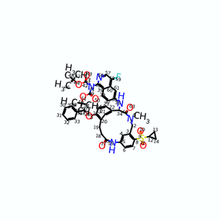 CN1Cc2cc(ccc2S(=O)(=O)C2CC2)NC(=O)CCc2cc(ccc2OCc2ccccc2)[C@@H](Nc2ccc3c(N(C(=O)OC(C)(C)C)C(=O)OC(C)(C)C)ncc(F)c3c2)C1=O